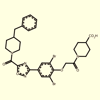 O=C(O)C1CCN(C(=O)COc2c(Br)cc(-c3noc(C(=O)N4CCC(Cc5ccccc5)CC4)n3)cc2Br)CC1